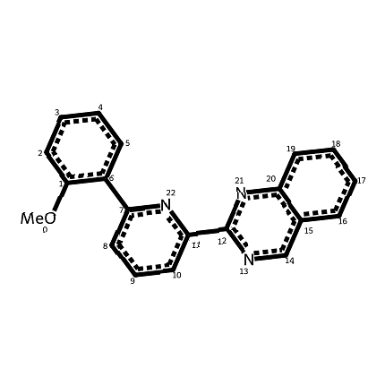 COc1ccccc1-c1cccc(-c2ncc3ccccc3n2)n1